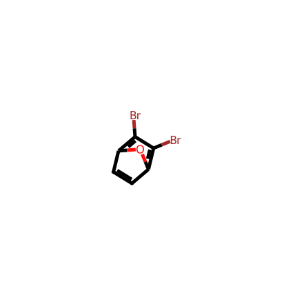 Brc1c(Br)c2ccc1o2